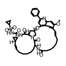 COc1cc2nc(-c3ccccc3)cc3c2cc1/C=C/CCCCCC(=O)N[C@H]1CCCCC/C=C\[C@@H]2C[C@@]2(C(=O)NS(=O)(=O)C2CC2)NC(=O)[C@@H]2C[C@H](CN2C1=O)O3